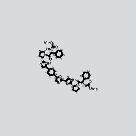 COC(=O)N[C@@H](C(=O)N1CCC[C@H]1c1nc(-c2ncc(-c3ccc(-c4cnc([C@@H]5CCCN5C(=O)[C@H](NC(=O)OC)c5ccccc5)[nH]4)cc3)o2)c[nH]1)c1ccccc1